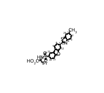 Cc1ccc2nc(-c3ccc4c(c3)oc3ccc(S(=O)(=O)N[C@@H](C(=O)O)C(C)C)cc34)sc2c1